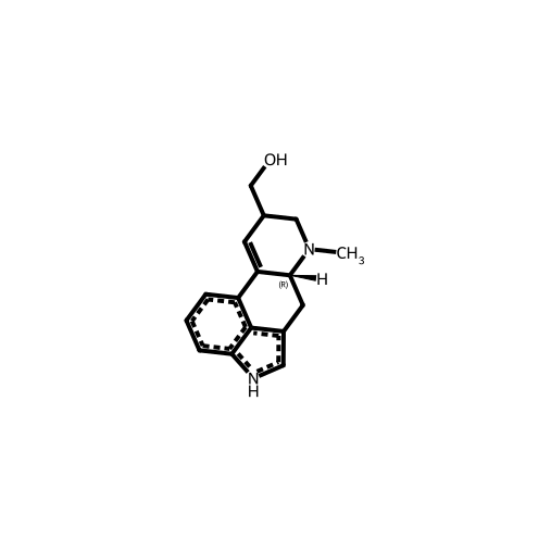 CN1CC(CO)C=C2c3cccc4[nH]cc(c34)C[C@H]21